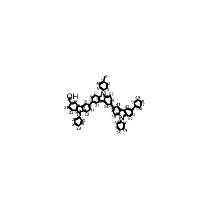 Cc1ccc(-n2c3ccc(-c4ccc5c(c4)c4cc(CO)ccc4n5-c4ccccc4)cc3c3cc(-c4ccc5c(c4)c4cc(-c6ccccc6)ccc4n5-c4ccccc4)ccc32)cc1